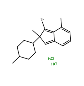 Cc1cccc2c1=[C]([Zr])C(C)(C1CCC(C)CC1)C=2.Cl.Cl